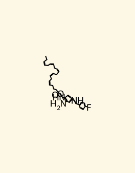 CC/C=C\C/C=C\C/C=C\C/C=C\C/C=C\CCCC(=O)ONc1ccc(NCc2ccc(F)cc2)cc1N